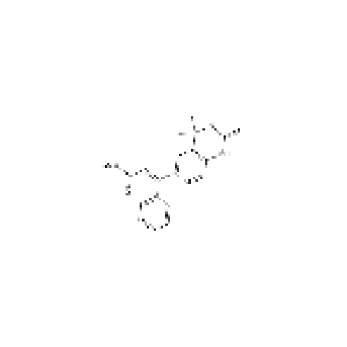 COC(=O)C=C(c1ccccc1)c1ccc2c(c1)C(C)(C)OC(=O)N2